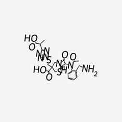 CC(=O)N(c1ccccc1CN)C1C(=O)N2CC(CSn3nnc(C(C)C(=O)O)n3)(C(=O)O)CS[C@H]12